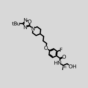 C[C@H](CO)NC(=O)c1ccc(OCCCC2CCN(c3nc(C(C)(C)C)no3)CC2)cc1F